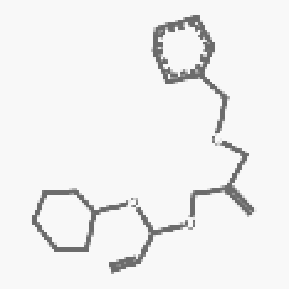 C=CC(OCC(=C)COCc1ccccc1)OC1CCCCC1